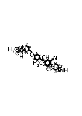 CC(C)(c1ccc(OCc2ccnc(NS(C)(=O)=O)n2)cc1)c1cc(Cl)c(N2CCC3(CC2)CNC3)c(C#N)c1